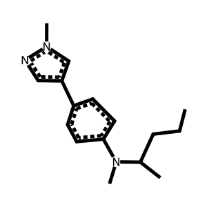 CCCC(C)N(C)c1ccc(-c2cnn(C)c2)cc1